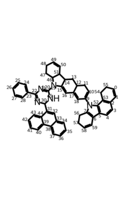 C1=Cc2ccc3c4c(n(C5=CCC6CC7C(=CC6=C5)N(C5=NC(c6ccccc6)=NC(c6cc8ccccc8c8ccccc68)N5)C5CCC=CC75)c3c2CC1)CCC=C4